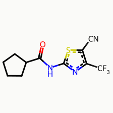 N#Cc1sc(NC(=O)C2CCCC2)nc1C(F)(F)F